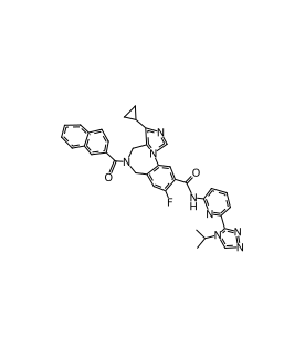 CC(C)n1cnnc1-c1cccc(NC(=O)c2cc3c(cc2F)CN(C(=O)c2ccc4ccccc4c2)Cc2c(C4CC4)ncn2-3)n1